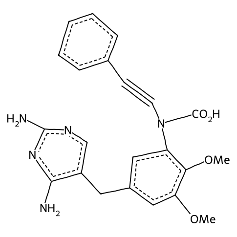 COc1cc(Cc2cnc(N)nc2N)cc(N(C#Cc2ccccc2)C(=O)O)c1OC